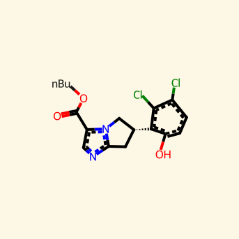 CCCCOC(=O)c1cnc2n1C[C@H](c1c(O)ccc(Cl)c1Cl)C2